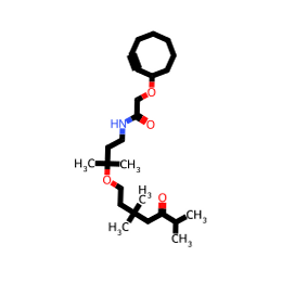 CC(C)C(=O)CC(C)(C)CCOC(C)(C)CCNC(=O)COC1C#CCCCCC1